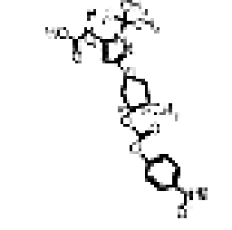 C[C@@H]1C[C@H](c2cc(NC(=O)O)n(C(C)(C)C)n2)C[C@@H]1OC(=O)Oc1ccc([N+](=O)[O-])cc1